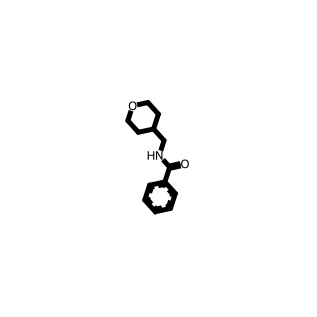 O=C(NCC1CCOCC1)c1cc[c]cc1